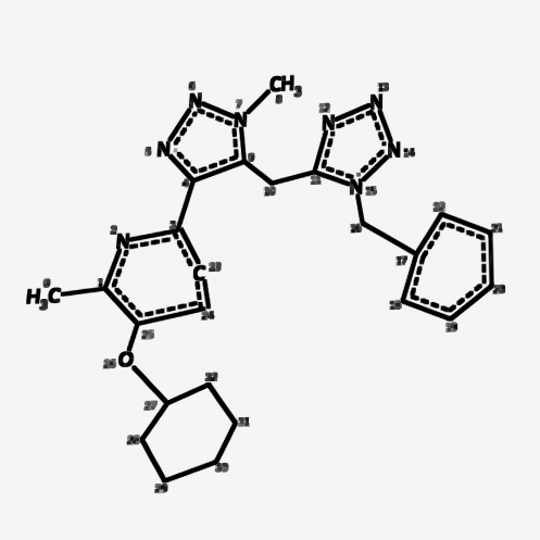 Cc1nc(-c2nnn(C)c2Cc2nnnn2Cc2ccccc2)ccc1OC1CCCCC1